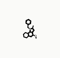 COc1cc2c(c3c1cc(C)n3Cc1ccccc1)CCCC2